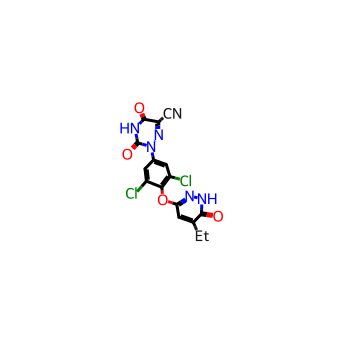 CCc1cc(Oc2c(Cl)cc(-n3nc(C#N)c(=O)[nH]c3=O)cc2Cl)n[nH]c1=O